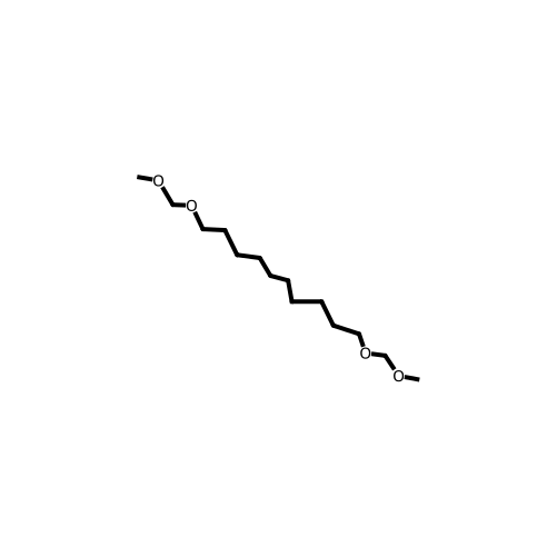 COCOCCCCCCCCCCOCOC